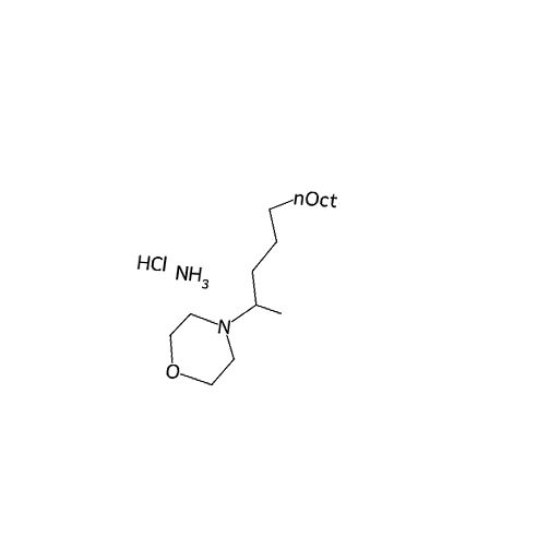 CCCCCCCCCCCC(C)N1CCOCC1.Cl.N